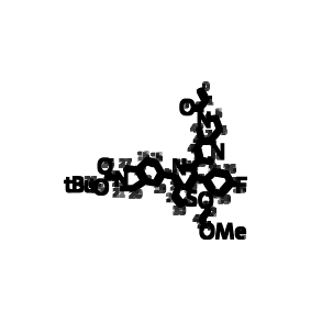 C=CC(=O)N1CCc2ncc(-c3nc(-c4ccc5c(c4)CCN(C(=O)OC(C)(C)C)C5)c4ccsc4c3-c3ccc(F)cc3OCCOC)cc2C1